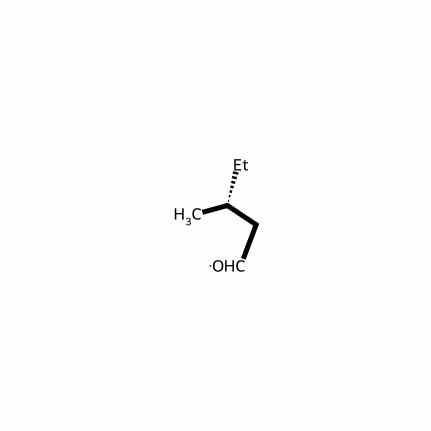 CC[C@@H](C)C[C]=O